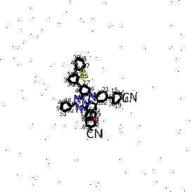 N#Cc1ccc(-c2ccc3c(c2)c2cc(-c4ccc(C#N)cc4)ccc2n3-c2ccc(-c3cccc4c3sc3ccccc34)cc2-c2nc(-c3ccccc3)nc(-c3ccccc3)n2)cc1